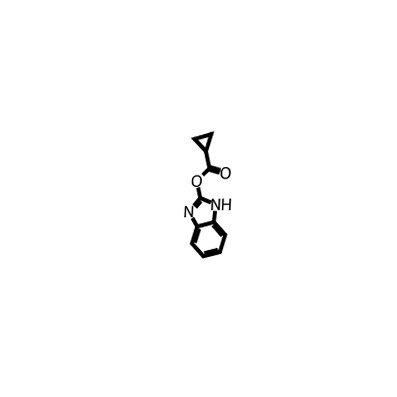 O=C(Oc1nc2ccccc2[nH]1)C1CC1